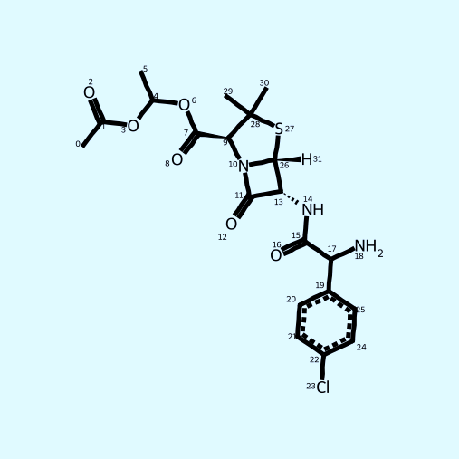 CC(=O)OC(C)OC(=O)[C@@H]1N2C(=O)[C@@H](NC(=O)C(N)c3ccc(Cl)cc3)[C@H]2SC1(C)C